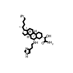 CC(C)CCC[C@@H](C)[C@H]1CC[C@H]2[C@@H]3C[C@@H](NCCc4c[nH]cn4)C4C[C@@H](C(O)C(N)=O)CC[C@]4(C)[C@H]3CC[C@]12C